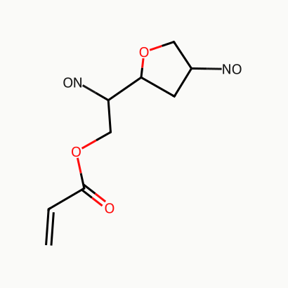 C=CC(=O)OCC(N=O)C1CC(N=O)CO1